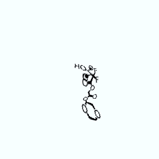 O=C(COC(=O)C(F)(F)S(=O)(=O)O)OC1COCCO1